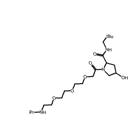 CC(C)NCCOCCOCCOCC(=O)N1CC(O)CC1C(=O)NCC(C)(C)C